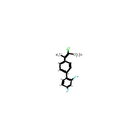 CCOC(=O)/C(Cl)=C(/C)c1ccc(-c2ccc(F)cc2F)cc1